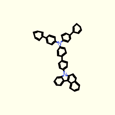 C1=CC(c2ccc(N(c3ccc(-c4ccccc4)cc3)c3ccc(-c4ccc(-n5c6ccccc6c6c7ccccc7ccc65)cc4)cc3)cc2)=CCC1